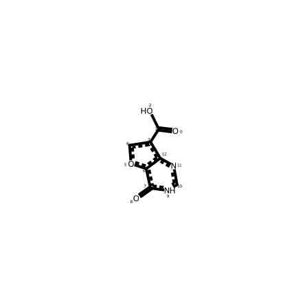 O=C(O)c1coc2c(=O)[nH]cnc12